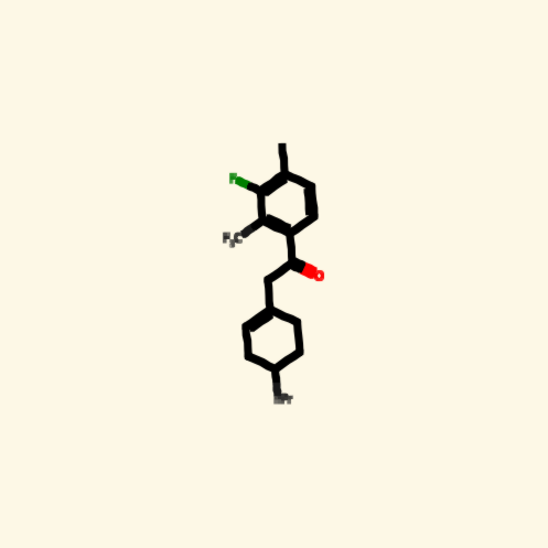 CCCC1CC=C(CC(=O)c2ccc(C)c(F)c2C(F)(F)F)CC1